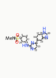 CNS(=O)(=O)c1cccc(Nc2nccc(-c3ccc4[nH]cnc4c3)n2)c1